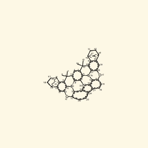 CC1(C)c2cc3c4c5c2B2c6c(cc7c(c61)C1CCC7CC1)Oc1ccc6c7ccc8c(c7n-5c6c12)B4c1c(cc2c(c1C3(C)C)C1CCC2CC1)O8